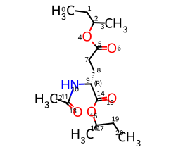 CCC(C)OC(=O)CC[C@@H](NC(C)=O)C(=O)OC(C)CC